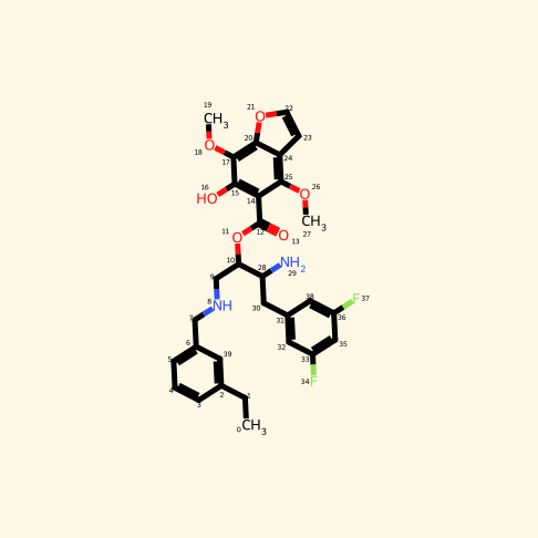 CCc1cccc(CNCC(OC(=O)c2c(O)c(OC)c3occc3c2OC)C(N)Cc2cc(F)cc(F)c2)c1